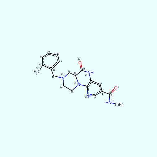 CCCNC(=O)c1cnc2c(c1)NC(=O)C1CN(Cc3ccccc3C(F)(F)F)CCN21